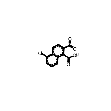 O=C(O)c1c(I(=O)=O)ccc2c(Cl)cccc12